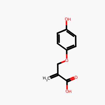 C=C(COc1ccc(O)cc1)C(=O)O